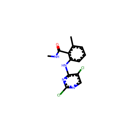 CNC(=O)c1c(C)cccc1Nc1nc(Cl)ncc1Cl